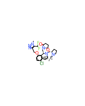 Cn1nnc(COc2ccc(Cl)c3c2[C@@H](CN2CCCC2=O)N(C(=O)[C@@H]2CCCN2C(=O)O)CC3)c1C(F)F